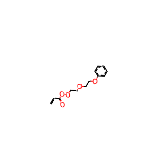 C=CC(=O)OOCCOCCOc1ccccc1